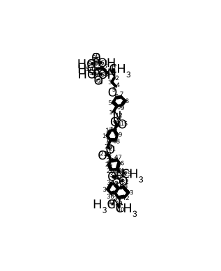 CN(CCCOc1cccc(/C=N/OC(=O)c2ccc(COC(=O)c3ccc(N(C)S(=O)(=O)c4cccc5c(N(C)C)cccc45)cc3)cc2)c1)CCC(O)(P(=O)(O)O)P(=O)(O)O